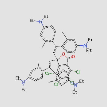 CCN(CC)c1ccc(C(=CC2(C=C(c3ccc(N(CC)CC)cc3C)c3ccc(N(CC)CC)cc3C)OC(=O)c3c(Cl)c(Cl)c(Cl)c(Cl)c32)c2ccc(N(CC)CC)cc2C)c(C)c1